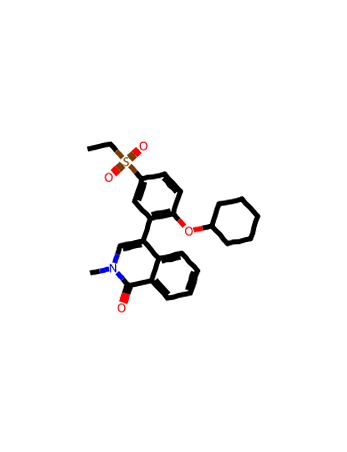 CCS(=O)(=O)c1ccc(OC2CCCCC2)c(-c2cn(C)c(=O)c3ccccc23)c1